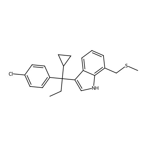 CCC(c1ccc(Cl)cc1)(c1c[nH]c2c(CSC)cccc12)C1CC1